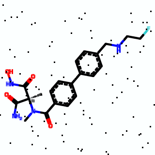 CN(C(=O)c1ccc(-c2ccc(CNCCF)cc2)cc1)[C@@](C)(C(N)=O)C(=O)NO